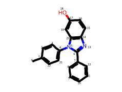 Cc1ccc(-n2c(-c3ccccc3)nc3ccc(O)cc32)cc1